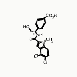 Cn1c(C(=O)N[C@H](CO)c2ccc(C(=O)O)cc2)cc2c(Cl)c(Cl)ccc21